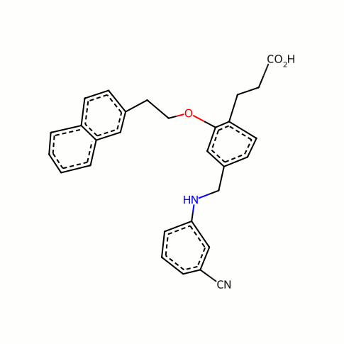 N#Cc1cccc(NCc2ccc(CCC(=O)O)c(OCCc3ccc4ccccc4c3)c2)c1